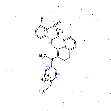 C=C/C(=C\C1=C(N(C)C(/C=N\C(=C)CC)=C/C)CCc2cccnc21)c1cccc(F)c1C#N